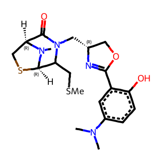 CSCC1[C@H]2SC[C@@H](C(=O)N1C[C@@H]1COC(c3cc(N(C)C)ccc3O)=N1)N2C